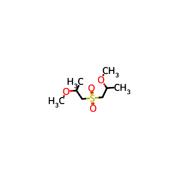 COC(C)CS(=O)(=O)CC(C)OC